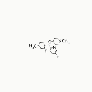 Cc1ccc(C(OC2CCN(C)CC2)c2ccc(F)cn2)c(F)c1